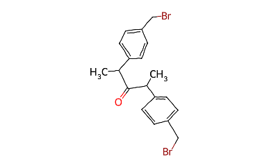 CC(C(=O)C(C)c1ccc(CBr)cc1)c1ccc(CBr)cc1